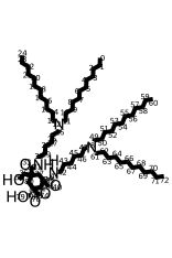 CCCCCCCCCCCCN(CCCCCCCCCCCC)CCCCCCNC(=O)C1(CO)C[C@@]2(C(=O)NCCCCCCN(CCCCCCCCCCCC)CCCCCCCCCCCC)COC(=O)[C@@](CO)(C1)C2